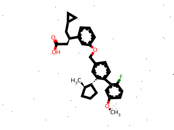 COc1ccc(F)c(-c2ccc(COc3cccc([C@@H](CC(=O)O)CC4CC4)c3)cc2[C@@H]2CCC[C@H]2C)c1